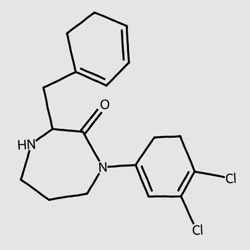 O=C1C(CC2=CC=CCC2)NCCCN1C1=CC(Cl)=C(Cl)CC1